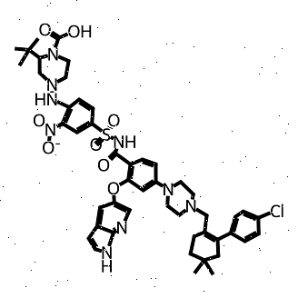 CC1(C)CCC(CN2CCN(c3ccc(C(=O)NS(=O)(=O)c4ccc(NN5CCN(C(=O)O)C(C(C)(C)C)C5)c([N+](=O)[O-])c4)c(Oc4cnc5[nH]ccc5c4)c3)CC2)=C(c2ccc(Cl)cc2)C1